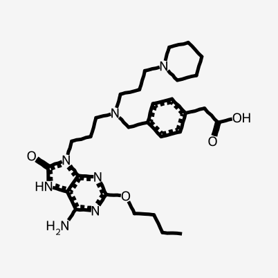 CCCCOc1nc(N)c2[nH]c(=O)n(CCCN(CCCN3CCCCC3)Cc3ccc(CC(=O)O)cc3)c2n1